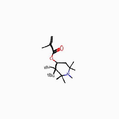 C=C(C)C(=O)OC1CC(C)(C)N(C)C(C)(C)C1(C(C)(C)C)C(C)(C)C